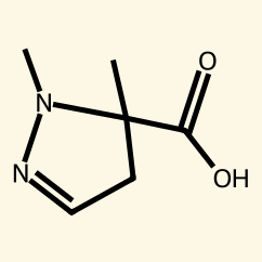 CN1N=CCC1(C)C(=O)O